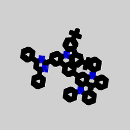 CC(C)(C)c1ccc2c(c1)c1cc(C(C)(C)C)ccc1n2-c1ccc(-c2nc(-c3ccccc3)cc(-c3ccccc3)n2)cc1-c1ccc(-c2cc3c4c(c2)N(c2ccccc2)c2ccccc2B4c2ccccc2N3c2ccccc2)cc1